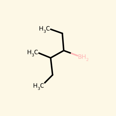 BC(CC)C(C)CC